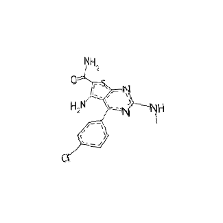 CNc1nc(-c2ccc(Cl)cc2)c2c(N)c(C(N)=O)sc2n1